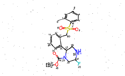 Cc1ccccc1S(=O)(=O)Cc1ccccc1C1CNC(F)CN1C(=O)OC(C)(C)C